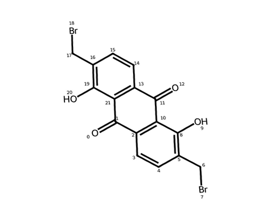 O=C1c2ccc(CBr)c(O)c2C(=O)c2ccc(CBr)c(O)c21